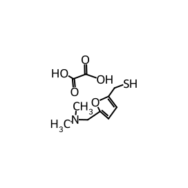 CN(C)Cc1ccc(CS)o1.O=C(O)C(=O)O